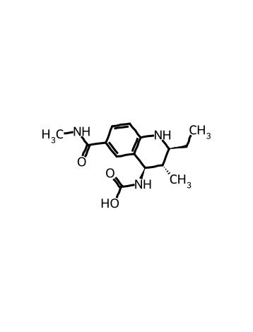 CC[C@@H]1Nc2ccc(C(=O)NC)cc2[C@H](NC(=O)O)[C@H]1C